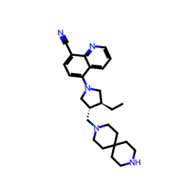 CC[C@@H]1CN(c2ccc(C#N)c3ncccc23)C[C@H]1CN1CCC2(CCNCC2)CC1